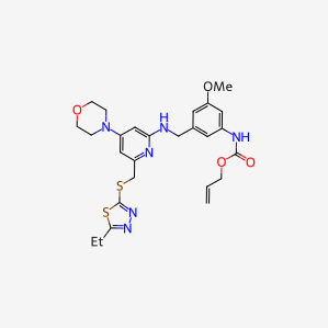 C=CCOC(=O)Nc1cc(CNc2cc(N3CCOCC3)cc(CSc3nnc(CC)s3)n2)cc(OC)c1